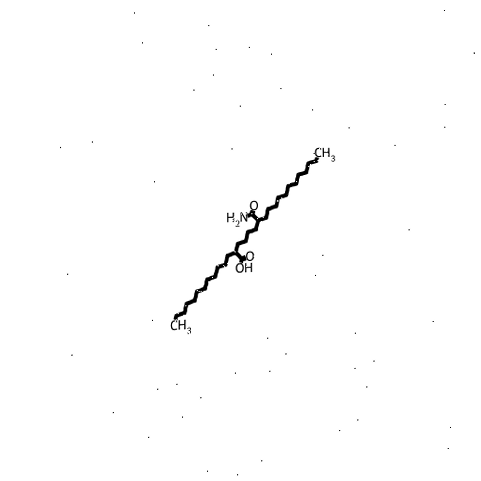 CCCCCCCCCCCCC(CCCCC(CCCCCCCCCCCC)C(=O)O)C(N)=O